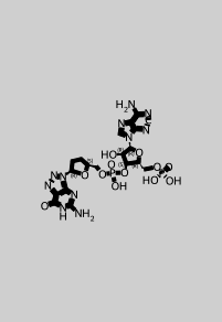 Nc1nc2c(nnn2[C@H]2CC[C@@H](COP(=O)(O)O[C@H]3[C@@H](O)[C@H](n4cnc5c(N)ncnc54)O[C@@H]3COP(=O)(O)O)O2)c(=O)[nH]1